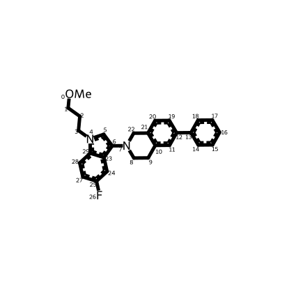 COCCCn1cc(N2CCc3cc(-c4ccccc4)ccc3C2)c2cc(F)ccc21